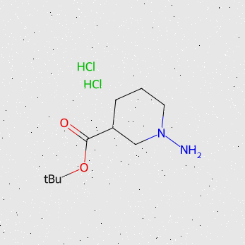 CC(C)(C)OC(=O)C1CCCN(N)C1.Cl.Cl